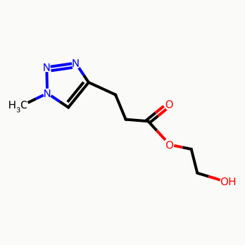 Cn1cc(CCC(=O)OCCO)nn1